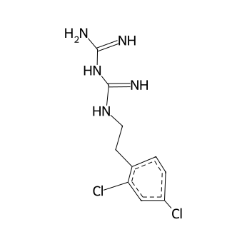 N=C(N)NC(=N)NCCc1ccc(Cl)cc1Cl